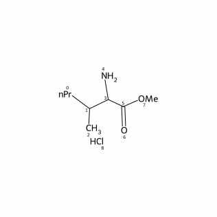 CCCC(C)C(N)C(=O)OC.Cl